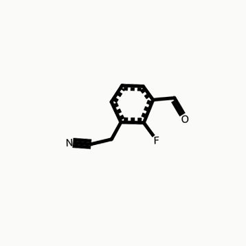 N#CCc1cccc(C=O)c1F